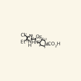 CCc1[nH]c(C(=O)NC2CCN(C(=O)O)CC2F)nc1Cl